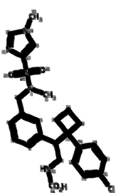 CN(Cc1cccc(C(CNC(=O)O)C2(c3ccc(Cl)cc3)CCC2)c1)S(=O)(=O)c1cn(C)cn1